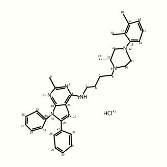 Cc1nc(NCCCCN2CCN(c3cccc(C)c3C)C[C@H]2C)c2nc(-c3ccccc3)n(-c3ccccc3)c2n1.Cl